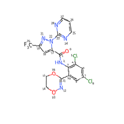 O=C(Nc1c(Cl)cc(Cl)cc1C1=NOCCO1)c1cc(C(F)(F)F)nn1-c1ncccn1